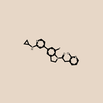 O=C(Cc1cccnc1Cl)N1CCc2cc(-c3ccnc(NC4CC4)c3)cc(F)c21